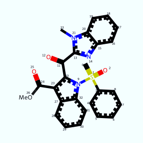 C=S(=O)(c1ccccc1)n1c(C(=O)c2nc3ccccc3n2C)c(C(=O)OC)c2ccccc21